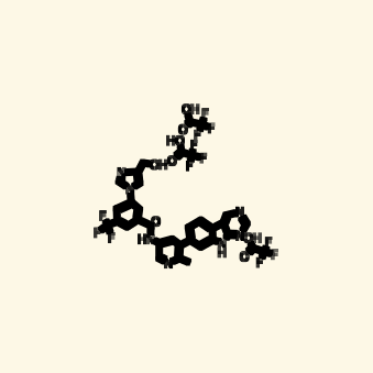 Cc1ncc(NC(=O)c2cc(-n3cnc(CO)c3)cc(C(F)(F)F)c2)cc1-c1ccc2c(c1)[nH]c1ncncc12.O=C(O)C(F)(F)F.O=C(O)C(F)(F)F.O=C(O)C(F)(F)F